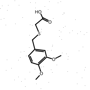 COc1ccc(CSCC(=O)O)cc1OC